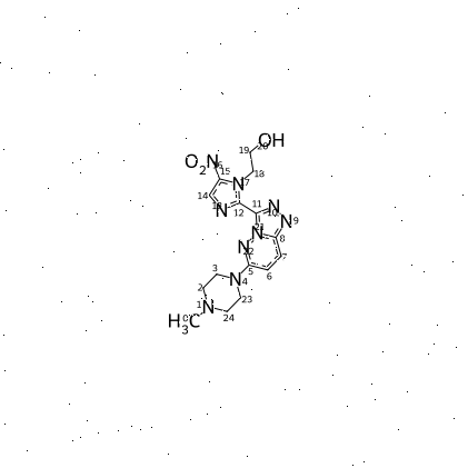 CN1CCN(c2ccc3nnc(-c4ncc([N+](=O)[O-])n4CCO)n3n2)CC1